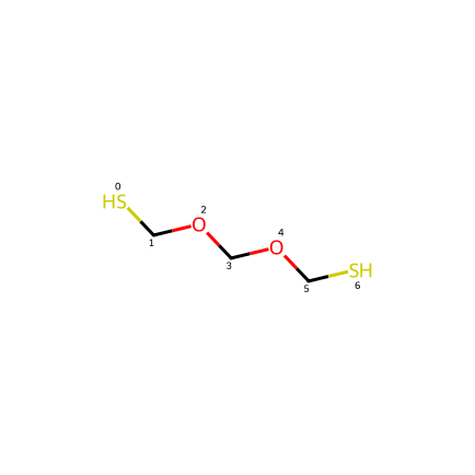 SCOCOCS